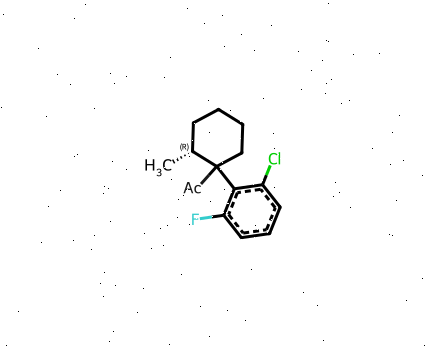 CC(=O)C1(c2c(F)cccc2Cl)CCCC[C@H]1C